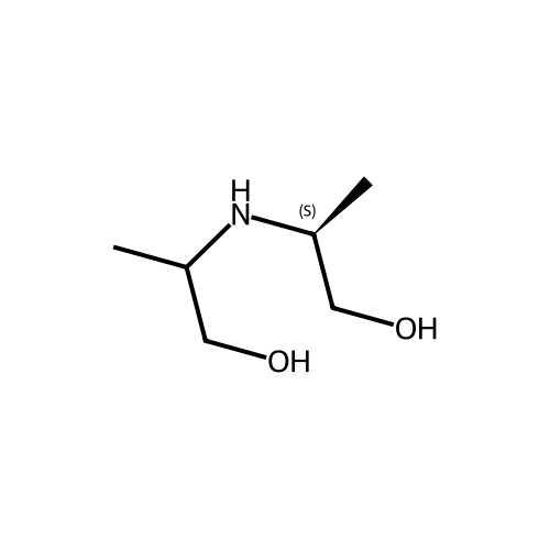 CC(CO)N[C@@H](C)CO